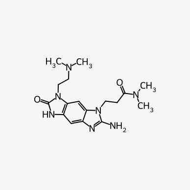 CN(C)CCn1c(=O)[nH]c2cc3nc(N)n(CCC(=O)N(C)C)c3cc21